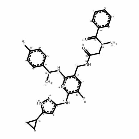 C[C@H](Nc1nc(Nc2cc(C3CC3)[nH]n2)c(F)cc1CNC(=O)CN(C)C(=O)c1ccccc1)c1ccc(F)cc1